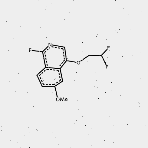 COc1ccc2c(F)ncc(OCC(F)F)c2c1